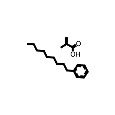 C=C(C)C(=O)O.CCCCCCCCCc1ccccc1